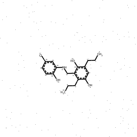 CCCc1cc(O)c(CCC)c(CNc2cc(Cl)ccc2O)c1O